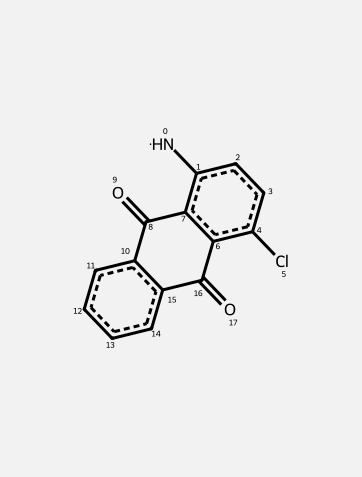 [NH]c1ccc(Cl)c2c1C(=O)c1ccccc1C2=O